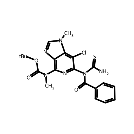 CN(C(=O)OC(C)(C)C)c1nc(N(C(=O)c2ccccc2)C(N)=S)c(Cl)c2c1ncn2C